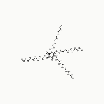 CCCCCCCCCCCCc1c(CCCCCCCCCCCC)n(CCCCCCCCCCCC)c(=S)n(CCCCCCCCCCCC)c1=O